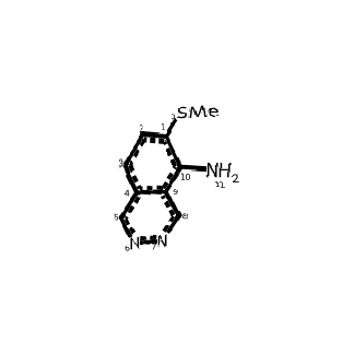 CSc1ccc2cnncc2c1N